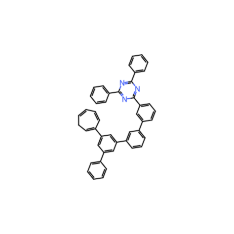 C1=CCC=C(c2cc(-c3ccccc3)cc(-c3cccc(-c4cccc(-c5nc(-c6ccccc6)nc(-c6ccccc6)n5)c4)c3)c2)C=C1